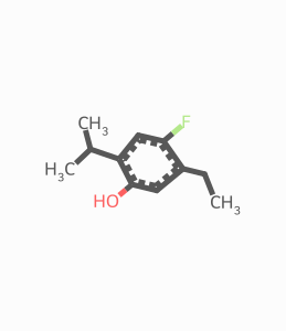 CCc1cc(O)c(C(C)C)cc1F